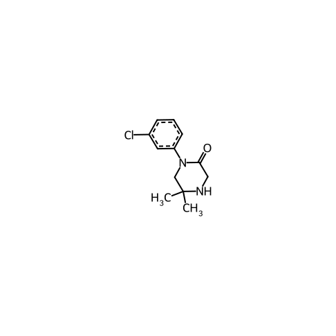 CC1(C)CN(c2cccc(Cl)c2)C(=O)CN1